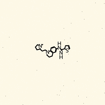 CN1CCCC1CCN1CCCc2cc(NC(=N)C3CC=CS3)ccc21